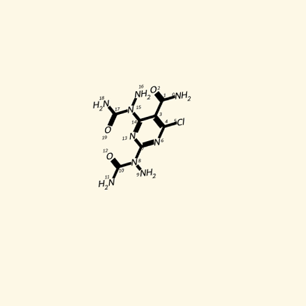 NC(=O)c1c(Cl)nc(N(N)C(N)=O)nc1N(N)C(N)=O